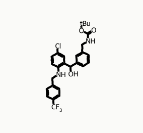 CC(C)(C)OC(=O)NCc1cccc(C(O)c2cc(Cl)ccc2NCc2ccc(C(F)(F)F)cc2)c1